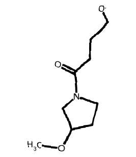 COC1CCN(C(=O)CCC[O])C1